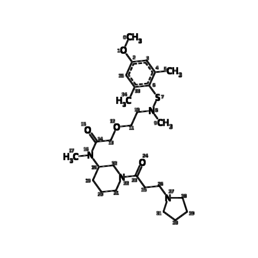 COc1cc(C)c(SN(C)CCOCC(=O)N(C)C2CCCN(C(=O)CCN3CCCC3)C2)c(C)c1